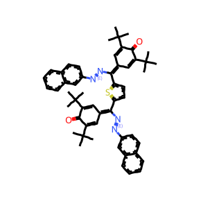 CC(C)(C)C1=CC(=C(/N=N/c2ccc3ccccc3c2)c2ccc(C(/N=N/c3ccc4ccccc4c3)=C3C=C(C(C)(C)C)C(=O)C(C(C)(C)C)=C3)s2)C=C(C(C)(C)C)C1=O